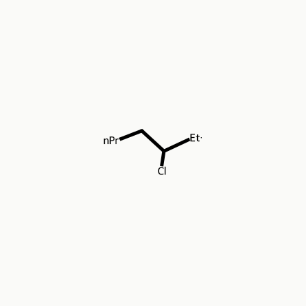 C[CH]C(Cl)CCCC